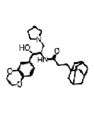 O=C(CCC12CC3CC(CC(C3)C1)C2)N[C@H](CN1CCCC1)[C@H](O)c1ccc2c(c1)OCCO2